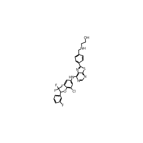 OCCNCc1ccc(-c2nc3c(Nc4ccc(OC(c5cccc(F)c5)C(F)(F)F)c(Cl)c4)ncnc3s2)cc1